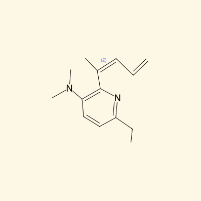 C=C/C=C(/C)c1nc(CC)ccc1N(C)C